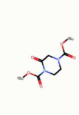 CC(C)(C)OC(=O)N1CCN(C(=O)OC(C)(C)C)C(=O)C1